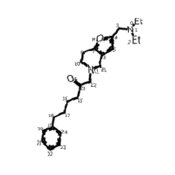 CCN(CC)Cc1cc2c(o1)CCN(CC(=O)CCCCc1ccccc1)C2